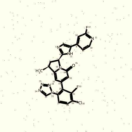 C[C@H]1C[C@@H](c2ncc(-c3ccnc(F)c3)[nH]2)n2c1cc(-c1c(-n3cnnn3)ccc(Cl)c1F)cc2=O